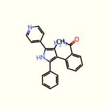 Cc1c(-c2ccncc2)[nH]c(-c2ccccc2)c1-c1ccccc1C(N)=O